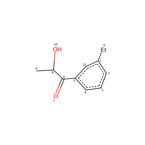 CCc1cccc(C(=O)C(C)O)c1